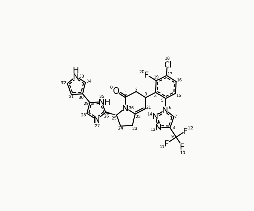 O=C1CC(c2c(-n3cc(C(F)(F)F)nn3)ccc(Cl)c2F)C=C2CC[C@@H](c3ncc(-c4cc[nH]c4)[nH]3)N12